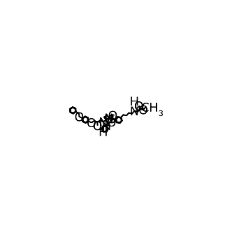 COC(=O)CNCCCCc1cccc(S(=O)(=O)N2CCC2(Cc2ccccc2)NCC(O)COc2ccc(OCc3ccccc3)cc2)c1